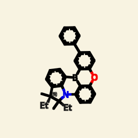 CCC1(C)N2c3cccc4c3B(c3cc(-c5ccccc5)ccc3O4)c3cccc(c32)[C@]1(C)CC